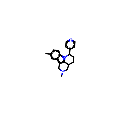 Cc1ccc2c(c1)c1c3n2C(c2ccncc2)CCC3CN(C)C1